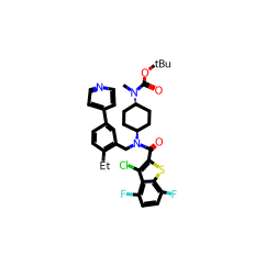 CCc1ccc(-c2ccncc2)cc1CN(C(=O)c1sc2c(F)ccc(F)c2c1Cl)[C@H]1CC[C@H](N(C)C(=O)OC(C)(C)C)CC1